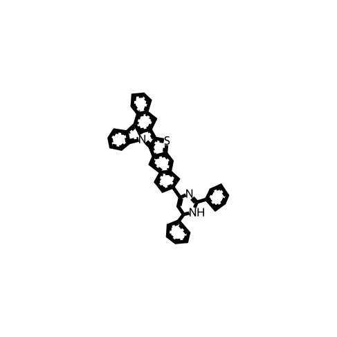 C1=C(c2ccc3cc4c(cc3c2)sc2c3cc5ccccc5c5c6ccccc6n(c42)c35)N=C(c2ccccc2)NC1c1ccccc1